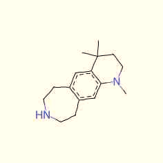 CN1CCC(C)(C)c2cc3c(cc21)CCNCC3